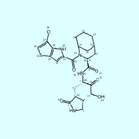 O=C1NCC[C@H]1C[C@H](NC(=O)[C@@H]1CC2CCCC(C2)N1C(=O)c1cc2scc(Cl)c2[nH]1)C(=O)CO